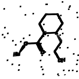 CC[C@H](C)OC(=O)N1CCCC[C@@H]1CCO